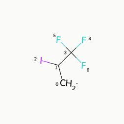 [CH2]C(I)C(F)(F)F